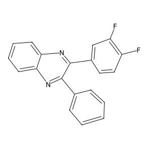 Fc1ccc(-c2nc3ccccc3nc2-c2ccccc2)cc1F